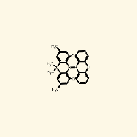 Cc1cc(C)c2c(c1)[Si](C)(C)c1cc(C)cc(C)c1N2B1c2ccccc2Oc2ccccc21